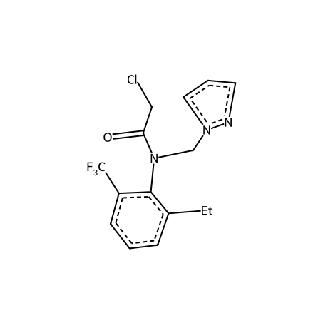 CCc1cccc(C(F)(F)F)c1N(Cn1cccn1)C(=O)CCl